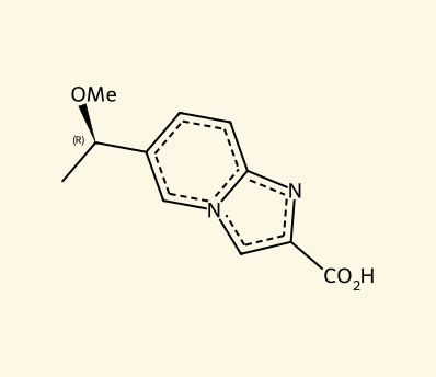 CO[C@H](C)c1ccc2nc(C(=O)O)cn2c1